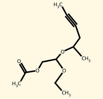 CC#CCC(C)OC(COC(C)=O)OCC